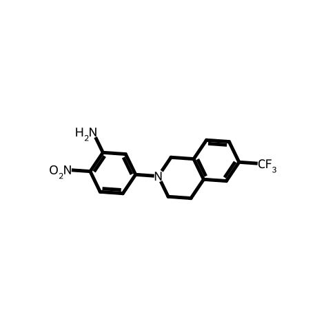 Nc1cc(N2CCc3cc(C(F)(F)F)ccc3C2)ccc1[N+](=O)[O-]